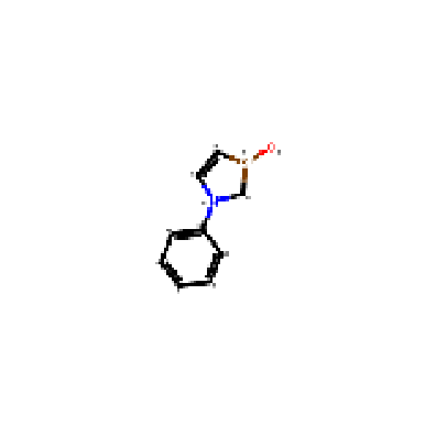 [O-][S+]1C=CN(c2ccccc2)C1